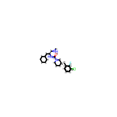 CNC[C@H](CC1CCCCC1)NC(=O)N1CCC[C@@H](Cc2cccc(Cl)c2F)C1